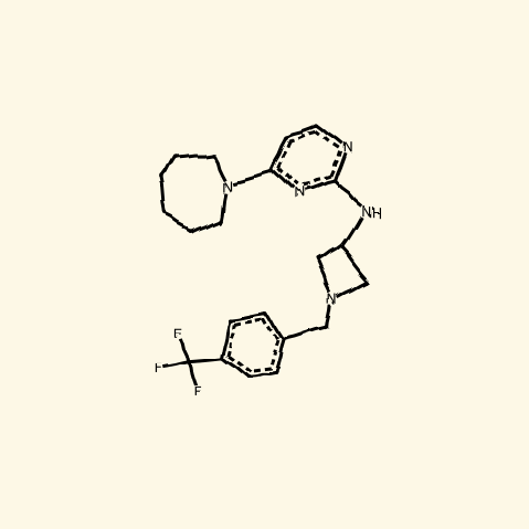 FC(F)(F)c1ccc(CN2CC(Nc3nccc(N4CCCCCC4)n3)C2)cc1